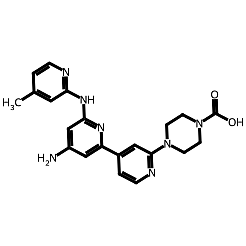 Cc1ccnc(Nc2cc(N)cc(-c3ccnc(N4CCN(C(=O)O)CC4)c3)n2)c1